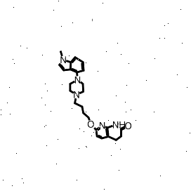 Cn1ccc2c(N3CCN(CCCCOc4ccc5c(n4)NC(=O)CC5)CC3)cccc21